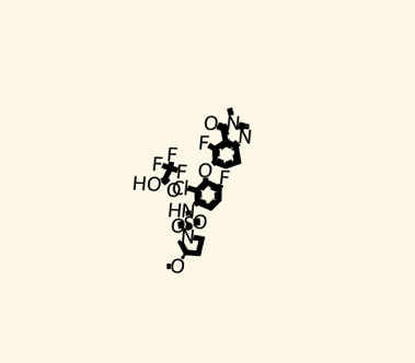 CO[C@@H]1CCN(S(=O)(=O)Nc2ccc(F)c(Oc3ccc4ncn(C)c(=O)c4c3F)c2Cl)C1.O=C(O)C(F)(F)F